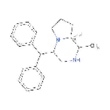 CC1NCC(C(c2ccccc2)c2ccccc2)N2CCC[C@@H]12